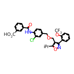 CC(C)c1onc(-c2ccccc2OC(F)(F)F)c1COCc1ccc(NC(=O)c2cccc(C(=O)O)c2)c(Cl)c1